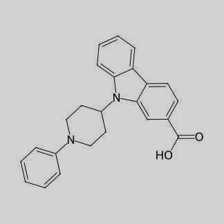 O=C(O)c1ccc2c3ccccc3n(C3CCN(c4ccccc4)CC3)c2c1